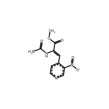 BC(=O)N/C(=C\c1ccncc1[N+](=O)[O-])C(=O)OC